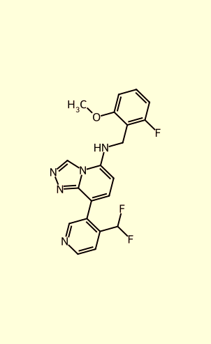 COc1cccc(F)c1CNc1ccc(-c2cnccc2C(F)F)c2nncn12